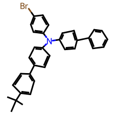 CC(C)(C)c1ccc(-c2ccc(N(c3ccc(Br)cc3)c3ccc(-c4ccccc4)cc3)cc2)cc1